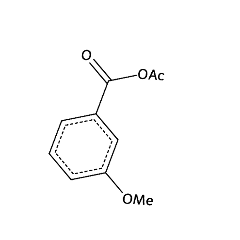 COc1cccc(C(=O)OC(C)=O)c1